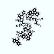 CC[C@H](C)[C@H](NC(=O)OCC1c2ccccc2-c2ccccc21)C(=O)N[C@@H](CSC(c1ccccc1)(c1ccccc1)c1ccccc1)C(=O)N[C@H](C(=O)N[C@@H](C)C(=O)N[C@@H](COC(C)(C)C)C(=O)N[C@H](C(=O)N1CCC[C@H]1C(=O)N1CCC[C@H]1C(=O)N[C@H](C(=O)N[C@@H](CSC(c1ccccc1)(c1ccccc1)c1ccccc1)C(=O)N[C@@H](CCC(N)=O)C(=O)O)[C@@H](C)CC)[C@@H](C)CC)[C@@H](C)OC(C)(C)C